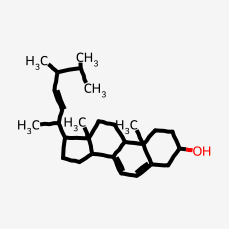 CC(C)C(C)/C=C/C(C)C1CCC2C3=CC=C4CC(O)CCC4(C)C3CCC21C